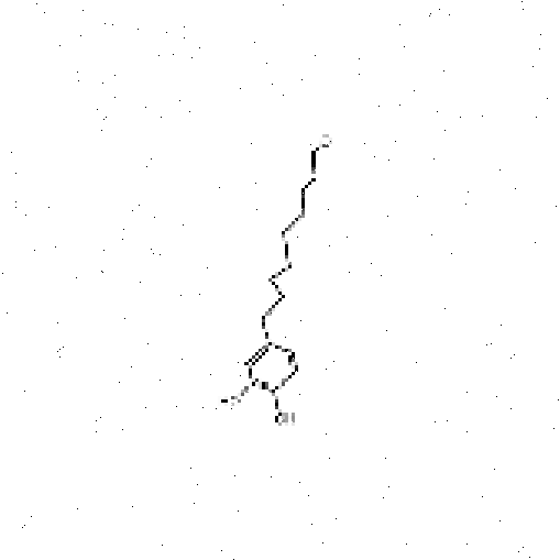 OCCCCCCCCCc1ccc(O)c(O)c1